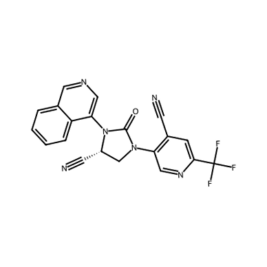 N#Cc1cc(C(F)(F)F)ncc1N1C[C@H](C#N)N(c2cncc3ccccc23)C1=O